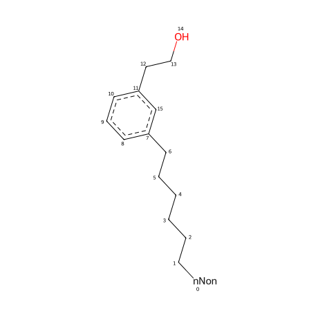 CCCCCCCCCCCCCCCc1cccc(CCO)c1